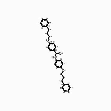 O=C(Nc1ccc(OCCCc2ccccc2)cc1)c1ccc(OCCCc2ccccc2)cc1